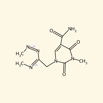 C/N=N\C(Cn1cc(C(N)=O)c(=O)n(C)c1=O)=N/C